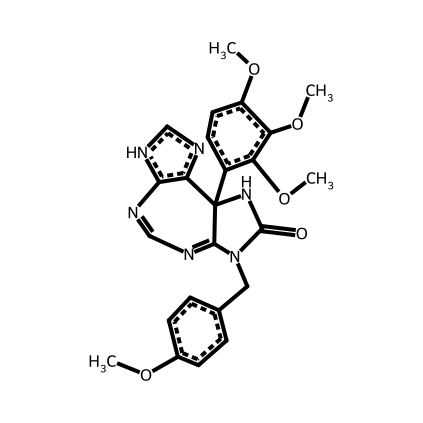 COc1ccc(CN2C(=O)NC3(c4ccc(OC)c(OC)c4OC)C2=NC=Nc2[nH]cnc23)cc1